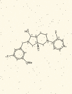 COc1cc(F)cc(CN2C[C@H]3CN(c4ccncc4F)CCN3C2O)c1